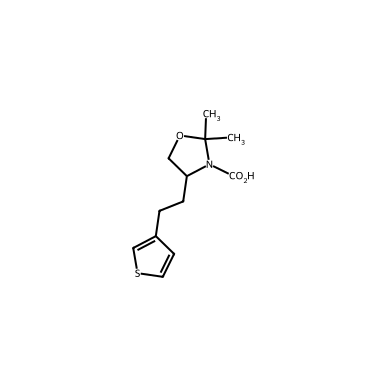 CC1(C)OCC(CCc2ccsc2)N1C(=O)O